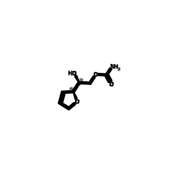 NC(=O)OC[C@H](O)[C@@H]1C=CCO1